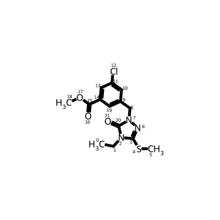 CCn1c(SC)nn(Cc2cc(Cl)cc(C(=O)OC)c2)c1=O